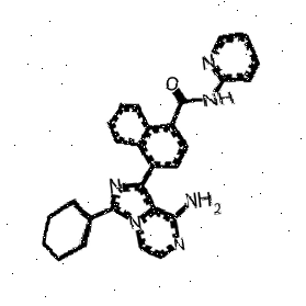 Nc1nccn2c(C3CCCCC3)nc(-c3ccc(C(=O)Nc4ccccn4)c4ccccc34)c12